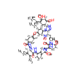 CCC(N=O)c1nnc(-c2cc(C(C)C)c(O)cc2O)n1-c1ccc(Oc2ccc(C(=O)N[C@@H](CC(C)C)C(=O)Nc3cccc4c3CN(C3CCC(=O)NC3=O)C4=O)cc2)cc1